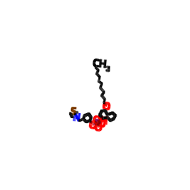 CCCCCCCCCCCCOc1ccc(OP(=O)(O)Oc2cccc(CN3C=CSC3)c2)c2ccccc12